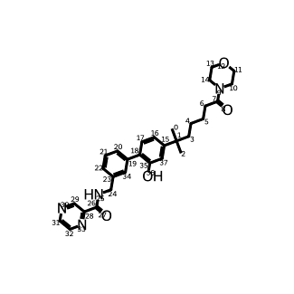 CC(C)(CCCCC(=O)N1CCOCC1)c1ccc(-c2cccc(CNC(=O)c3cnccn3)c2)c(O)c1